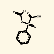 O=C(O)OP(=O)(C(=O)O)c1ccccc1